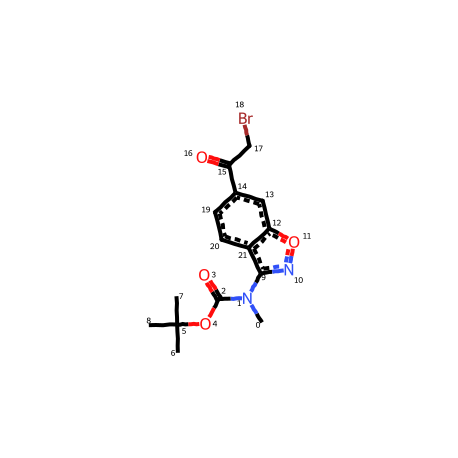 CN(C(=O)OC(C)(C)C)c1noc2cc(C(=O)CBr)ccc12